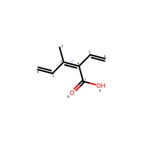 C=C/C(C)=C(/C=C)C(=O)O